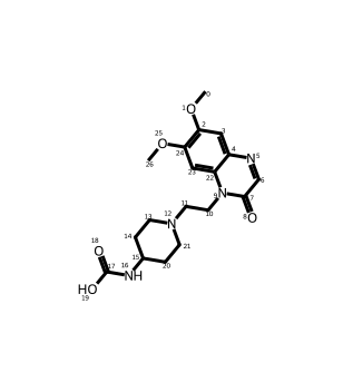 COc1cc2ncc(=O)n(CCN3CCC(NC(=O)O)CC3)c2cc1OC